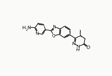 CC1CC(=O)NN=C1c1ccc2nc(-c3ccc(N)nc3)oc2c1